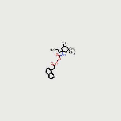 C=C1CC(C)(C)CC(CCC)(NC(=O)OCOC(=O)Cc2cccc3ccccc23)C1